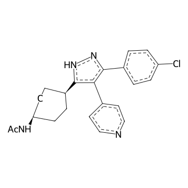 CC(=O)N[C@H]1CC[C@@H](c2[nH]nc(-c3ccc(Cl)cc3)c2-c2ccncc2)CC1